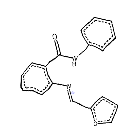 O=C(Nc1ccccc1)c1ccccc1/N=C/c1ccco1